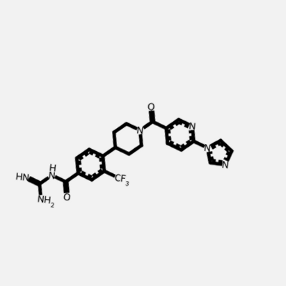 N=C(N)NC(=O)c1ccc(C2CCN(C(=O)c3ccc(-n4ccnc4)nc3)CC2)c(C(F)(F)F)c1